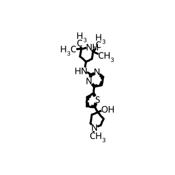 CN1CCC(O)(c2ccc(-c3ccnc(NC4CC(C)(C)NC(C)(C)C4)n3)s2)CC1